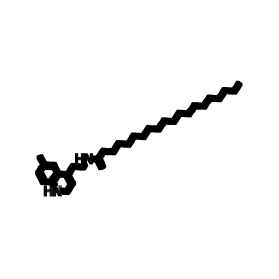 C=C(CCCCCCCCCCCCCCCCCCC)NCCC1=CCNc2ccc(C)cc21